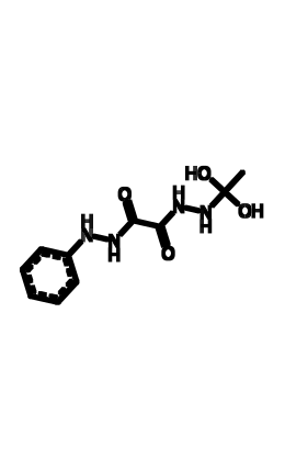 CC(O)(O)NNC(=O)C(=O)NNc1ccccc1